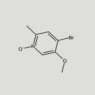 COc1c[n+]([O-])c(C)cc1Br